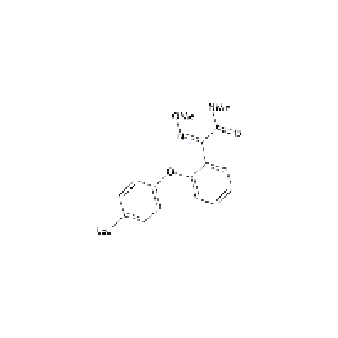 CNC(=O)/C(=N\OC)c1ccccc1Oc1ccc(C(C)(C)C)cc1